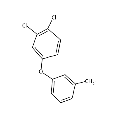 [CH2]c1cccc(Oc2ccc(Cl)c(Cl)c2)c1